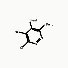 CCCCCc1nnc(Cl)c(C#N)c1CCCCC